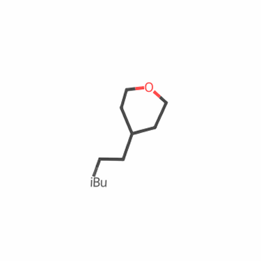 CCC(C)CCC1CCOCC1